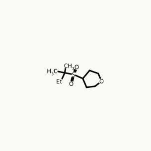 CCC(C)(C)S(=O)(=O)C1CCOCC1